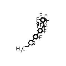 [2H]c1c(F)c(F)c(F)c([2H])c1OC(F)(F)c1c(F)cc(-c2ccc(C3CCC(CCC)CO3)cc2F)cc1F